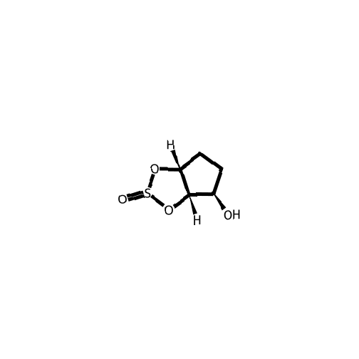 O=S1O[C@H]2[C@H](O)CC[C@H]2O1